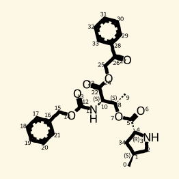 C[C@@H]1CN[C@@H](C(=O)O[C@@H](C)[C@H](NC(=O)OCc2ccccc2)C(=O)OCC(=O)c2ccccc2)C1